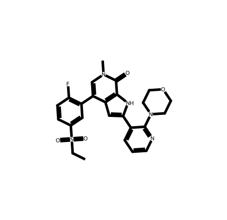 CCS(=O)(=O)c1ccc(F)c(-c2cn(C)c(=O)c3[nH]c(-c4cccnc4N4CCOCC4)cc23)c1